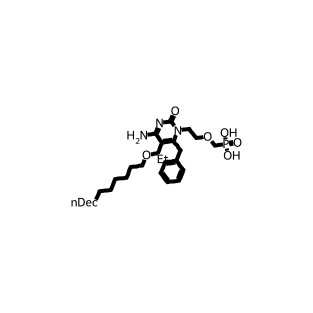 CCCCCCCCCCCCCCCCOC(CC)c1c(N)nc(=O)n(CCOCP(=O)(O)O)c1Cc1ccccc1